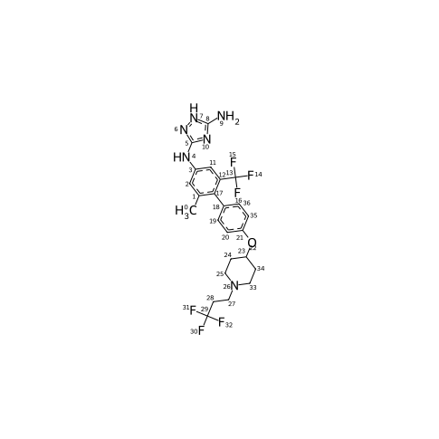 Cc1cc(Nc2n[nH]c(N)n2)cc(C(F)(F)F)c1-c1ccc(OC2CCN(CCC(F)(F)F)CC2)cc1